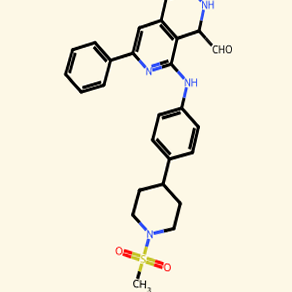 CS(=O)(=O)N1CCC(c2ccc(Nc3nc(-c4ccccc4)cc4c3C(C=O)NC=C4)cc2)CC1